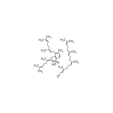 CC(C)=CCC/C(C)=C/CC/C(C)=C\CC/C(C)=C/CCl.CC(C)=CCC/C(C)=C\Cc1c(C)ccc(S(=O)(=O)O)c1C/C=C(\C)CCC=C(C)C